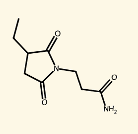 CCC1CC(=O)N(CCC(N)=O)C1=O